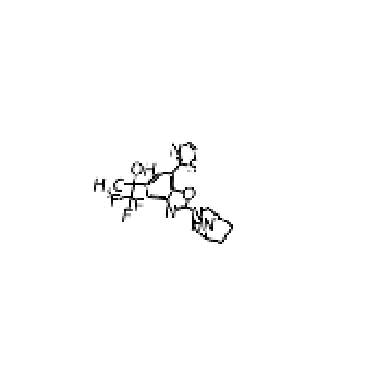 CC(O)(c1cc(-c2nccs2)c2oc(N3CC4CCC(C3)N4)nc2c1)C(F)(F)F